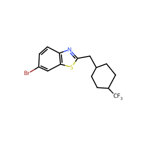 FC(F)(F)C1CCC(Cc2nc3ccc(Br)cc3s2)CC1